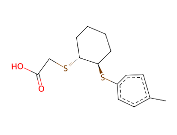 Cc1ccc(S[C@@H]2CCCC[C@H]2SCC(=O)O)cc1